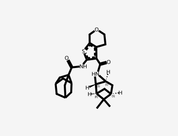 C[C@@H]1[C@@H](NC(=O)c2c(NC(=O)C34CC5CC(CC3C5)C4)sc3c2CCOC3)C[C@@H]2C[C@H]1C2(C)C